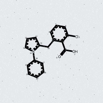 O=C(O)c1c(Cl)cccc1Cc1cccn1-c1ccccc1